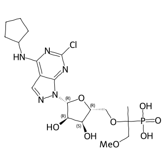 COCC(C)(OC[C@H]1O[C@@H](n2ncc3c(NC4CCCC4)nc(Cl)nc32)[C@H](O)[C@@H]1O)P(=O)(O)O